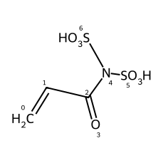 C=CC(=O)N(S(=O)(=O)O)S(=O)(=O)O